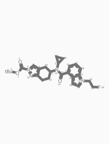 CC(C)(C)OC(=O)n1cc2c(n1)CCC(N(C(=O)c1cccc3c1ccn3CCF)C1CC1)C2